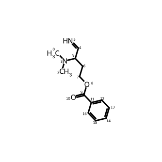 CN(C)C(C=N)CCOC(=O)c1ccccc1